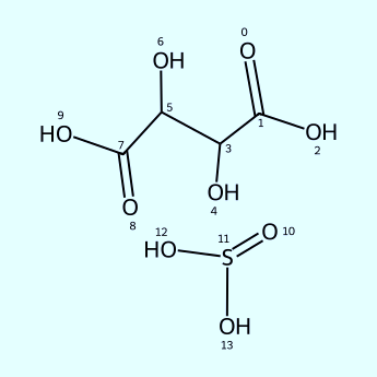 O=C(O)C(O)C(O)C(=O)O.O=S(O)O